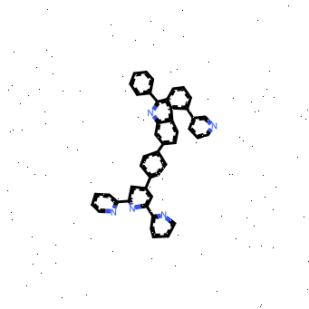 c1ccc(-c2nc3cc(-c4ccc(-c5cc(-c6ccccn6)nc(-c6ccccn6)c5)cc4)ccc3c3c(-c4cccnc4)cccc23)cc1